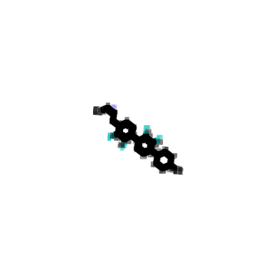 CC/C=C\Cc1ccc(-c2ccc(C3CCC(CC)CC3)c(F)c2F)c(F)c1F